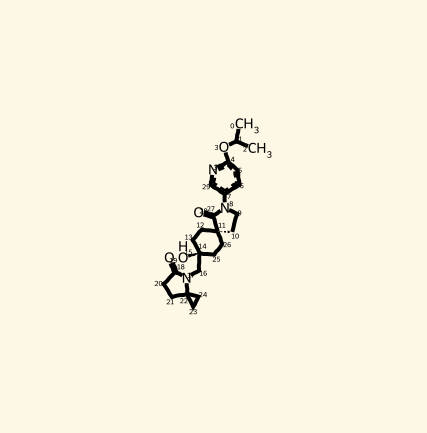 CC(C)Oc1ccc(N2CC[C@]3(CC[C@@](O)(CN4C(=O)CCC45CC5)CC3)C2=O)cn1